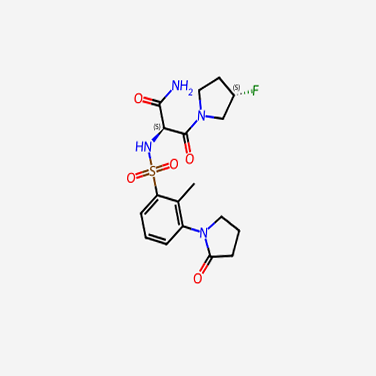 Cc1c(N2CCCC2=O)cccc1S(=O)(=O)N[C@@H](C(N)=O)C(=O)N1CC[C@H](F)C1